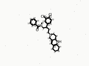 CN(CC(CCN1CCC2NC3=C(C=C2C1)CCCC3)c1ccc(Cl)c(Cl)c1)C(=O)c1ccccc1